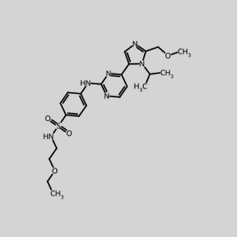 CCOCCNS(=O)(=O)c1ccc(Nc2nccc(-c3cnc(COC)n3C(C)C)n2)cc1